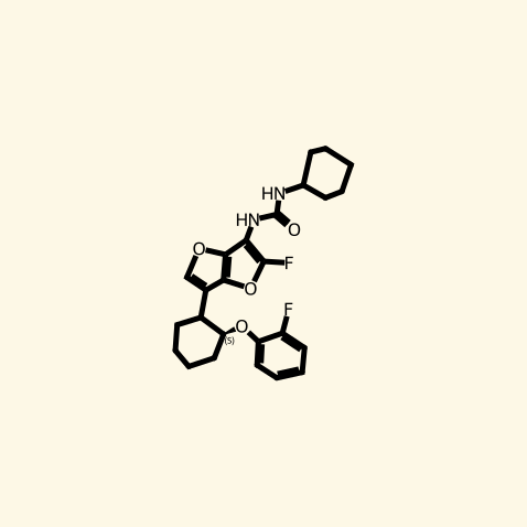 O=C(Nc1c(F)oc2c(C3CCCC[C@@H]3Oc3ccccc3F)coc12)NC1CCCCC1